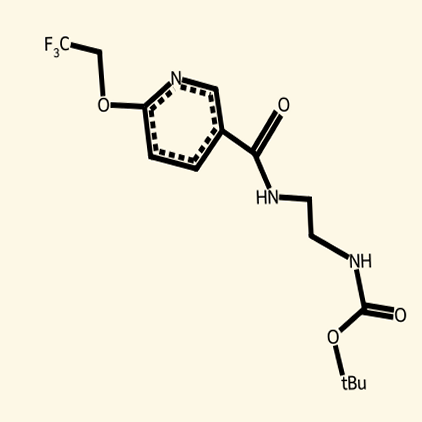 CC(C)(C)OC(=O)NCCNC(=O)c1ccc(OCC(F)(F)F)nc1